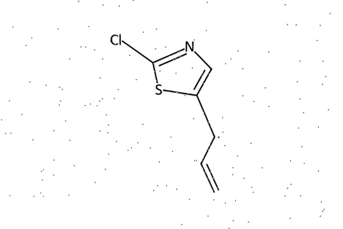 C=C[CH]c1cnc(Cl)s1